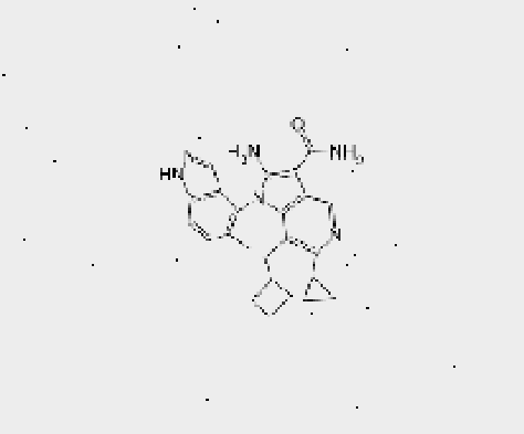 Cc1ccc2[nH]ncc2c1-n1c(N)c(C(N)=O)c2cnc(C3CC3)c(CC3CCC3)c21